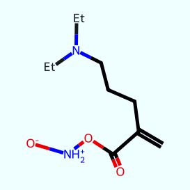 C=C(CCCN(CC)CC)C(=O)O[NH2+][O-]